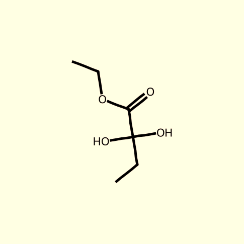 CCOC(=O)C(O)(O)CC